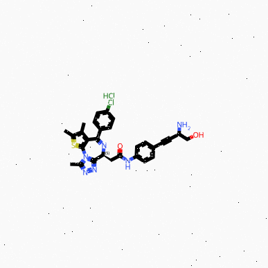 Cc1sc2c(c1C)C(c1ccc(Cl)cc1)=N[C@@H](CC(=O)Nc1ccc(C#CC(N)CO)cc1)c1nnc(C)n1-2.Cl